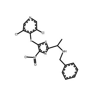 CC(NCc1ccccc1)c1nc([N+](=O)[O-])c(Sc2c(Cl)cncc2Cl)s1